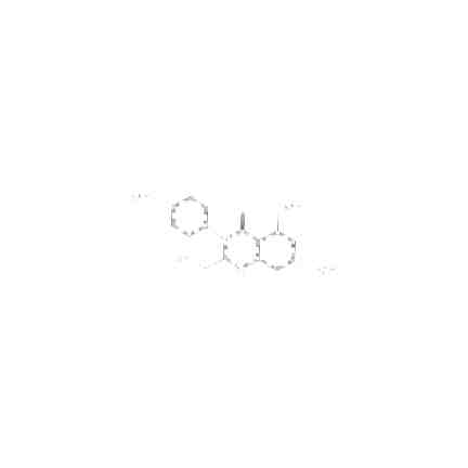 COc1ccc(-n2c(CC(C)C)nc3cc(OC)cc(OC)c3c2=O)cc1